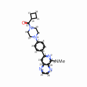 CNc1nc(-c2ccc(N3CCN(C(=O)C4CCC4)CC3)cc2)cc2nccnc12